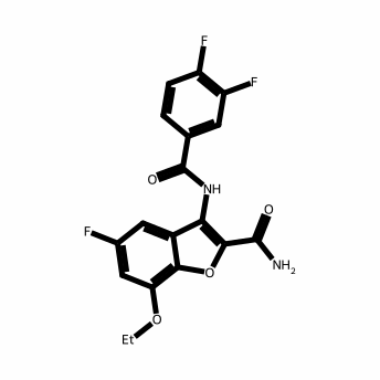 CCOc1cc(F)cc2c(NC(=O)c3ccc(F)c(F)c3)c(C(N)=O)oc12